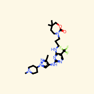 Cc1nn(C2CCN(C)CC2)cc1Nc1ncc(C(F)(F)F)c(NCCCN2CCC(C)(C)COC2=O)n1